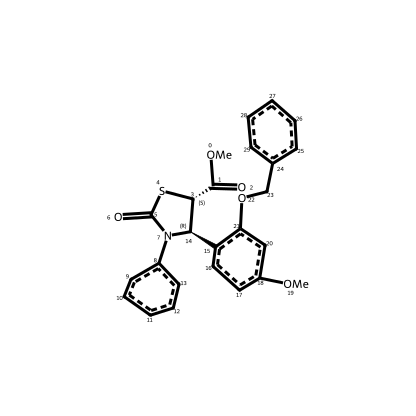 COC(=O)[C@H]1SC(=O)N(c2ccccc2)[C@@H]1c1ccc(OC)cc1OCc1ccccc1